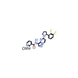 COc1ncccc1C(=O)Nc1cnn2ccc(N3CCCC3c3cccc(F)c3F)nc12